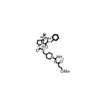 COCCC(=O)/N=C(\N)N1CCC(CNC(=O)[C@@H]2CCCN2C(=O)[C@@H](Cc2ccccc2)NS(C)(=O)=O)CC1